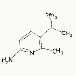 Cc1nc(N)ccc1C(C)N